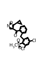 CS(=O)(=O)c1c(Cl)cc(Cl)cc1Cc1ccccc1C(=O)c1cnoc1C1CC1